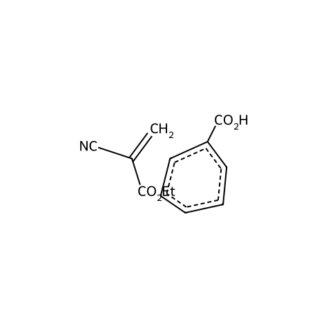 C=C(C#N)C(=O)OCC.O=C(O)c1ccccc1